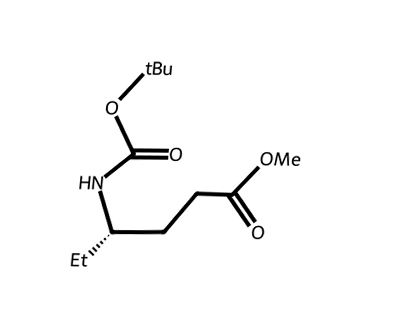 CC[C@@H](CCC(=O)OC)NC(=O)OC(C)(C)C